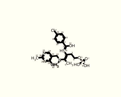 C/C(=C(CCOP(=O)(O)O)/[SH]=C(\O)c1ccc(Cl)cc1)N(C=O)Cc1cnc(C)nc1N